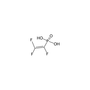 O=P(O)(O)C(F)=C(F)F